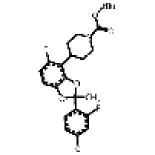 CC(C)(C)OC(=O)N1CCC(c2c(F)ccc3c2OC(C)(c2ccc(Cl)cc2F)O3)CC1